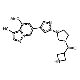 COc1cc(-c2cnn([C@H]3CCN(C(=O)C4CNC4)C3)c2)cn2ncc(C#N)c12